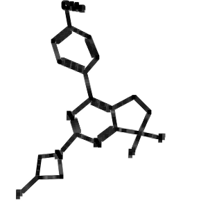 COc1ccc(-c2nc(N3CC(F)C3)nc3c2CCC3(F)F)cc1